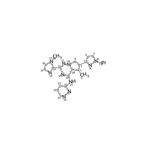 Cc1c(-c2ccn(C(C)C)n2)cn2nc(-c3nccn3C)nc(Nc3cccnn3)c12